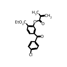 C=C(C)C(=O)Oc1cc(C(=O)c2ccc(Cl)cc2)ccc1C(=O)OCC